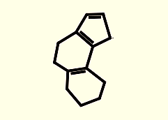 [CH]1C=CC2=C1C1=C(CCCC1)CC2